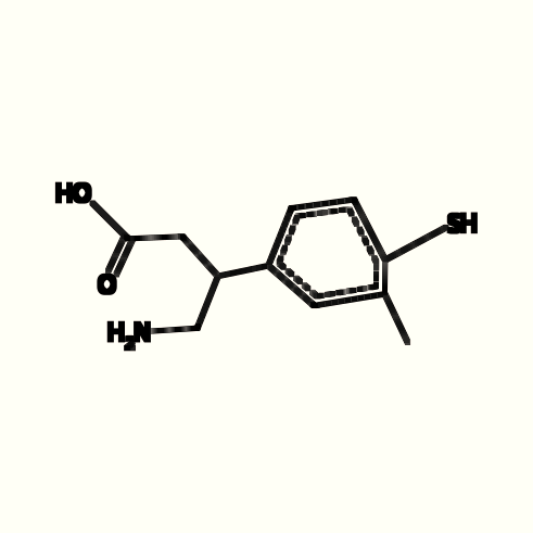 Cc1cc(C(CN)CC(=O)O)ccc1S